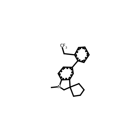 CN1CC2(CCCC2)c2cc(-c3ccccc3CC(F)(F)F)ccc21